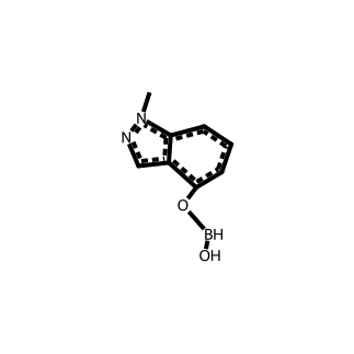 Cn1ncc2c(OBO)cccc21